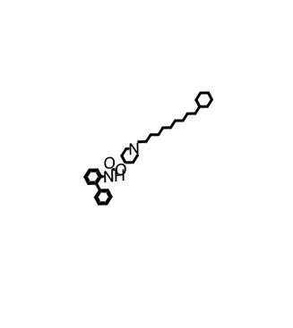 O=C(Nc1ccccc1-c1ccccc1)OC1CCN(CCCCCCCCCCC2CCCCC2)CC1